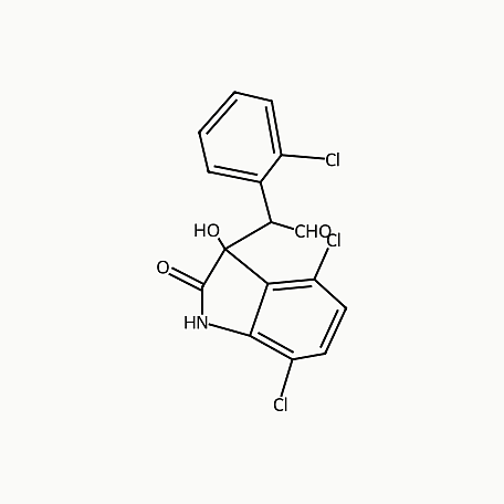 O=CC(c1ccccc1Cl)C1(O)C(=O)Nc2c(Cl)ccc(Cl)c21